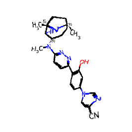 CN(c1ccc(-c2ccc(-n3cnc(C#N)c3)cc2O)nn1)[C@@H]1C[C@]2(C)CC[C@](C)(C1)N2